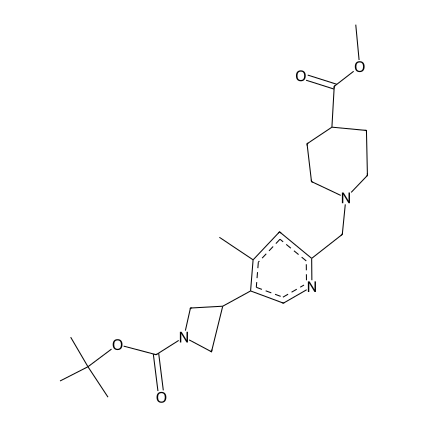 COC(=O)C1CCN(Cc2cc(C)c(C3CN(C(=O)OC(C)(C)C)C3)cn2)CC1